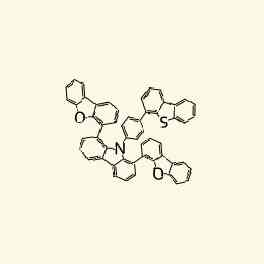 c1ccc2c(c1)oc1c(-c3cccc4c5cccc(-c6cccc7c6oc6ccccc67)c5n(-c5ccc(-c6cccc7c6sc6ccccc67)cc5)c34)cccc12